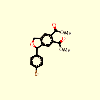 COC(=O)c1cc2c(cc1C(=O)OC)C(c1ccc(Br)cc1)OC2